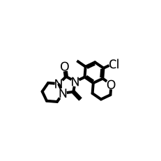 C=C1N(c2c(C)cc(Cl)c3c2CCCO3)C(=O)N2CCCCN12